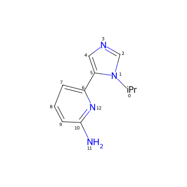 CC(C)n1cncc1-c1cccc(N)n1